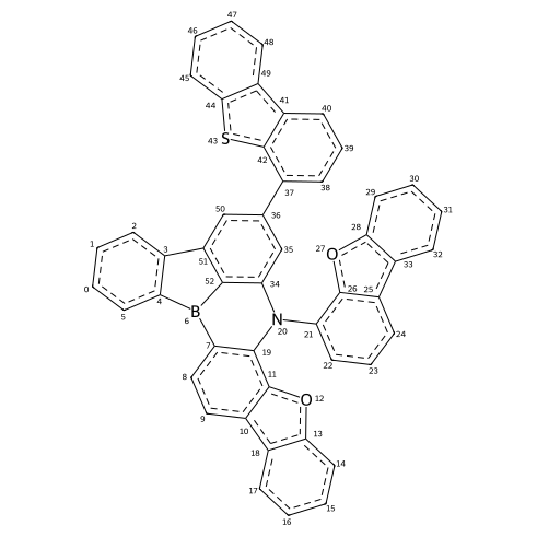 c1ccc2c(c1)B1c3ccc4c(oc5ccccc54)c3N(c3cccc4c3oc3ccccc34)c3cc(-c4cccc5c4sc4ccccc45)cc-2c31